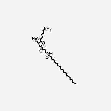 CCCCCCCCCCCCCCCCCC(=O)NCCC(=O)NCC([C]=O)C(=O)[C@@H](N)CCCCN